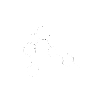 CCc1nc2ccc(C3=CCOCC3)cn2c1N(C)c1nc(-c2ccc(Cl)cc2)cs1